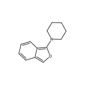 c1ccc2c(N3CCCCC3)occ2c1